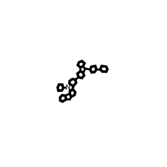 c1ccc(-c2ccc(C3c4ccccc4-c4cc(-c5ccc6c(c5)c5ccc7c(c5n6-c5ccccc5)-c5ccccc5C7)ccc43)cc2)cc1